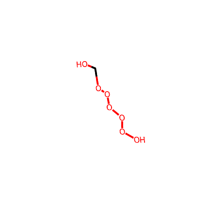 OCOOOOOO